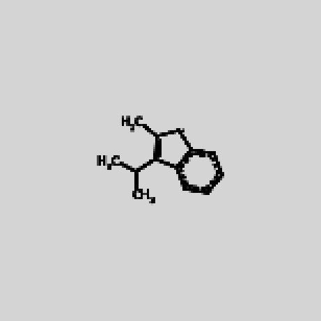 CC1=C(C(C)C)c2ccccc2[CH]1